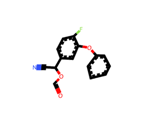 N#CC(OC=O)c1ccc(F)c(Oc2ccccc2)c1